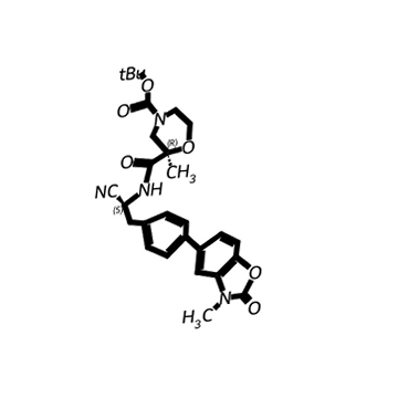 Cn1c(=O)oc2ccc(-c3ccc(C[C@@H](C#N)NC(=O)[C@@]4(C)CN(C(=O)OC(C)(C)C)CCO4)cc3)cc21